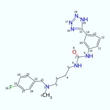 CN(CCCCNC(=O)Nc1cccc(-c2nnn[nH]2)c1)Cc1ccc(F)cc1